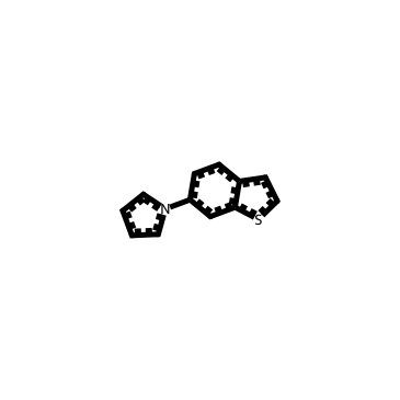 c1ccn(-c2ccc3ccsc3c2)c1